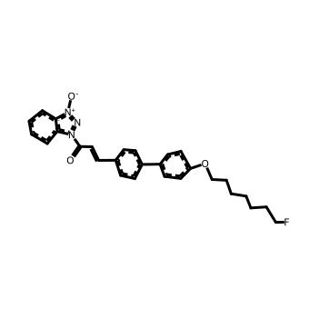 O=C(C=Cc1ccc(-c2ccc(OCCCCCCCF)cc2)cc1)n1n[n+]([O-])c2ccccc21